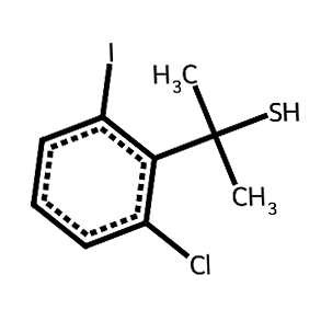 CC(C)(S)c1c(Cl)cccc1I